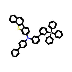 c1ccc(-c2ccc(N(c3cccc(-c4cccc([Si](c5ccccc5)(c5ccccc5)c5ccccc5)c4)c3)c3ccc4c(c3)sc3c5ccccc5ccc43)cc2)cc1